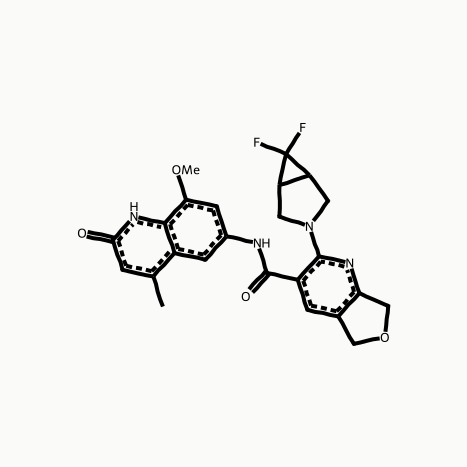 COc1cc(NC(=O)c2cc3c(nc2N2CC4C(C2)C4(F)F)COC3)cc2c(C)cc(=O)[nH]c12